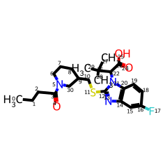 CCCC(=O)N1CCCC(CSc2nc3cc(F)ccc3n2C(C(=O)O)C(C)(C)C)C1